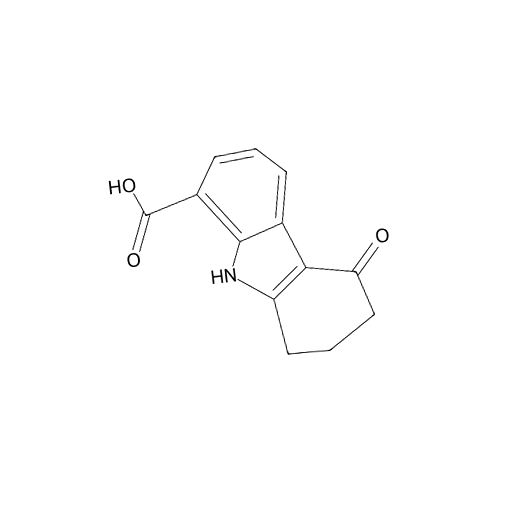 O=C1CCCc2[nH]c3c(C(=O)O)cccc3c21